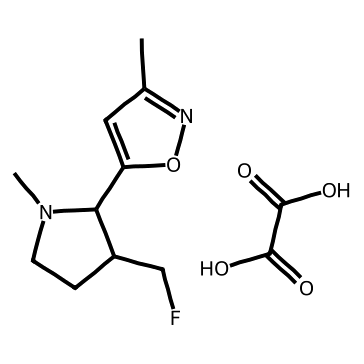 Cc1cc(C2C(CF)CCN2C)on1.O=C(O)C(=O)O